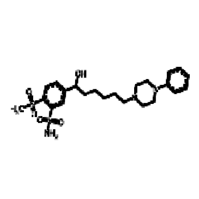 CS(=O)(=O)c1ccc(C(O)CCCCCN2CCN(c3ccccc3)CC2)cc1S(N)(=O)=O